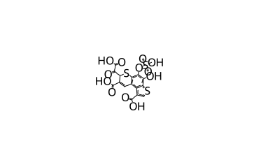 O=C(O)C(=O)C1Sc2c(OS(=O)(=O)O)c(O)c3scc(C(=O)O)c3c2C=C1C(=O)O